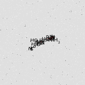 Cc1ncsc1-c1ccc(CNC(=O)[C@@H]2C[C@@H](O)CN2C(=O)C(c2cc(C3CCC(N4CCC(c5cnc(N6C7CCC6CN(c6cc(-c8ccccc8O)nnc6N)C7)nc5)CC4)CC3)no2)C(C)C)cc1